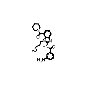 COCCCn1c(NC(=O)c2cccc(N)c2)nc2cccc(C(=O)N3CCCCC3)c21